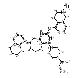 C=CC(=O)N1CCN(c2nc(Oc3cccc4c3CCN(C)C4)nc3c2CCCN(c2cccc4c2CCCC4)C3)CC1